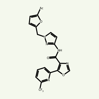 CC(=O)c1ccc(Cn2ccc(NC(=O)c3ncoc3-c3cccc(C(F)(F)F)n3)n2)o1